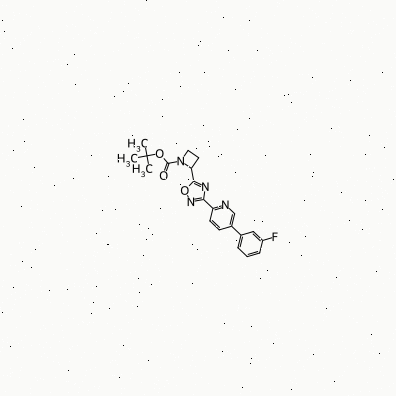 CC(C)(C)OC(=O)N1CCC1c1nc(-c2ccc(-c3cccc(F)c3)cn2)no1